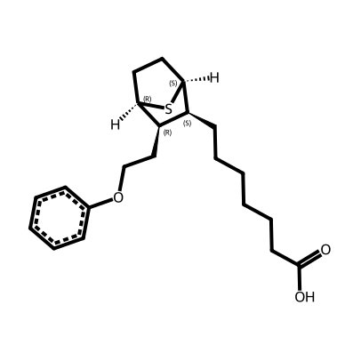 O=C(O)CCCCCC[C@H]1[C@@H](CCOc2ccccc2)[C@H]2CC[C@@H]1S2